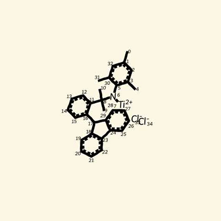 Cc1cc(C)c([N]([Ti+2])C(C)(C)c2ccccc2C2c3ccccc3-c3ccccc32)c(C)c1.[Cl-].[Cl-]